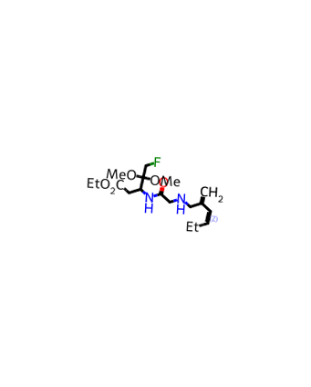 C=C(/C=C\CC)CNCC(=O)NC(CC(=O)OCC)C(CF)(OC)OC